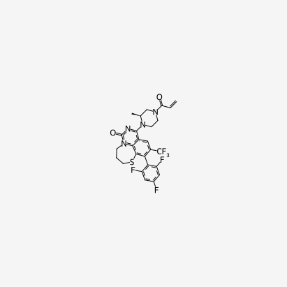 C=CC(=O)N1CCN(c2nc(=O)n3c4c(c(-c5c(F)cc(F)cc5F)c(C(F)(F)F)cc24)SCCC3)[C@@H](C)C1